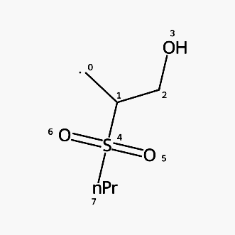 [CH2]C(CO)S(=O)(=O)CCC